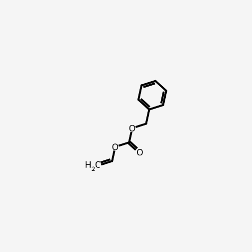 C=COC(=O)OCc1ccccc1